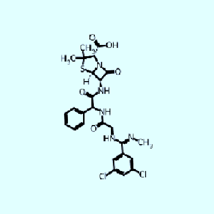 CN=C(NCC(=O)NC(C(=O)N[C@@H]1C(=O)N2[C@@H]1SC(C)(C)[C@@H]2C(=O)O)c1ccccc1)c1cc(Cl)cc(Cl)c1